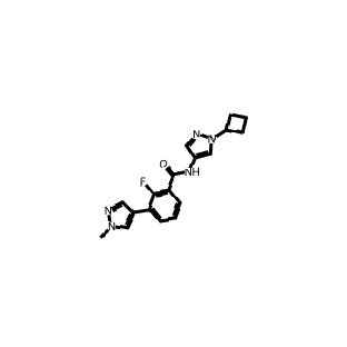 Cn1cc(-c2cccc(C(=O)Nc3cnn(C4CCC4)c3)c2F)cn1